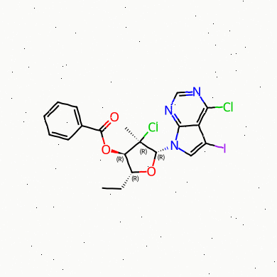 CC[C@H]1O[C@@H](n2cc(I)c3c(Cl)ncnc32)[C@](C)(Cl)[C@@H]1OC(=O)c1ccccc1